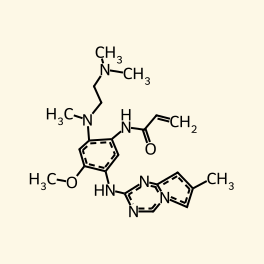 C=CC(=O)Nc1cc(Nc2ncn3cc(C)cc3n2)c(OC)cc1N(C)CCN(C)C